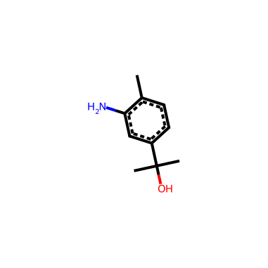 Cc1ccc(C(C)(C)O)cc1N